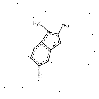 CCc1ccc2c(c1)cc(C(C)(C)C)n2C